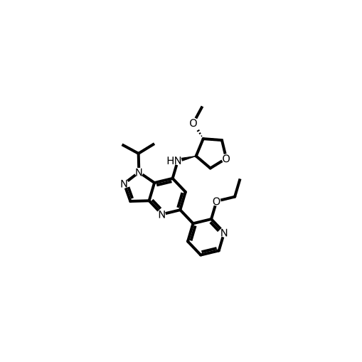 CCOc1ncccc1-c1cc(N[C@@H]2COC[C@H]2OC)c2c(cnn2C(C)C)n1